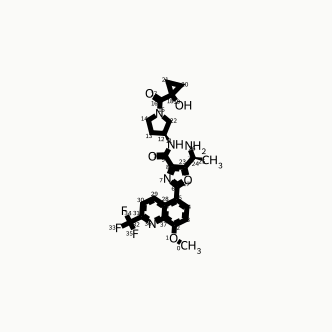 COc1ccc(-c2nc(C(=O)N[C@H]3CCN(C(=O)C4(O)CC4)C3)c([C@H](C)N)o2)c2ccc(C(F)(F)F)nc12